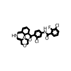 O=C(Nc1ccc(C(=O)C2CC=CC3=CNC=C4COCCN4C32)c(Cl)c1)c1cccc(Cl)c1F